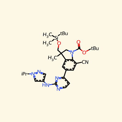 CC(C)n1cc(Nc2nccc(-c3cc(C#N)c4c(c3)C(C)(CO[Si](C)(C)C(C)(C)C)CN4C(=O)OC(C)(C)C)n2)cn1